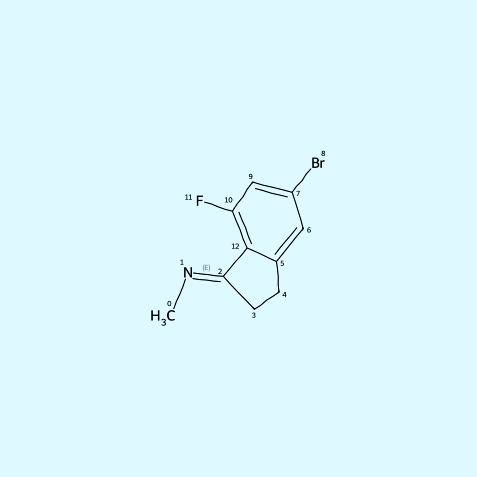 C/N=C1\CCc2cc(Br)cc(F)c21